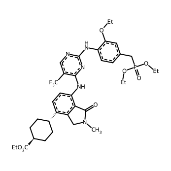 CCOc1cc(CP(=O)(OCC)OCC)ccc1Nc1ncc(C(F)(F)F)c(Nc2ccc([C@H]3CC[C@H](C(=O)OCC)CC3)c3c2C(=O)N(C)C3)n1